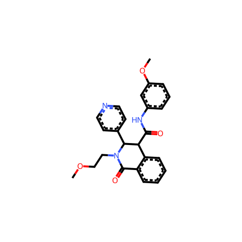 COCCN1C(=O)c2ccccc2C(C(=O)Nc2cccc(OC)c2)C1c1ccncc1